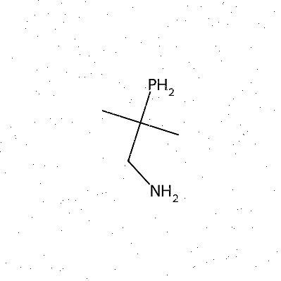 CC(C)(P)CN